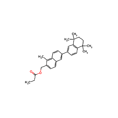 CCC(=O)OCc1ccc2cc(-c3ccc4c(c3)C(C)(C)CCC4(C)C)ccc2c1C